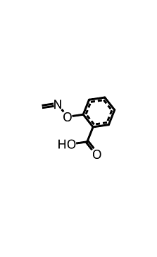 C=NOc1ccccc1C(=O)O